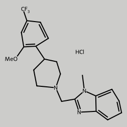 COc1cc(C(F)(F)F)ccc1C1CCN(Cc2nc3ccccc3n2C)CC1.Cl